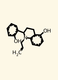 C=CCN1c2cccc(O)c2CCC1c1ccccc1O